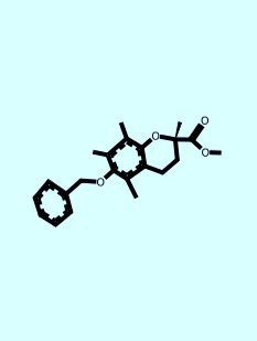 COC(=O)[C@]1(C)CCc2c(C)c(OCc3ccccc3)c(C)c(C)c2O1